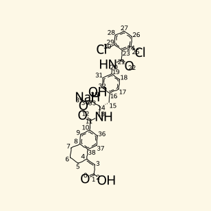 O=C(O)/C=C1\CCCc2cc(C(=O)N[C@@H](Cc3ccc(NC(=O)c4c(Cl)cccc4Cl)cc3)C(=O)O)ccc21.[NaH]